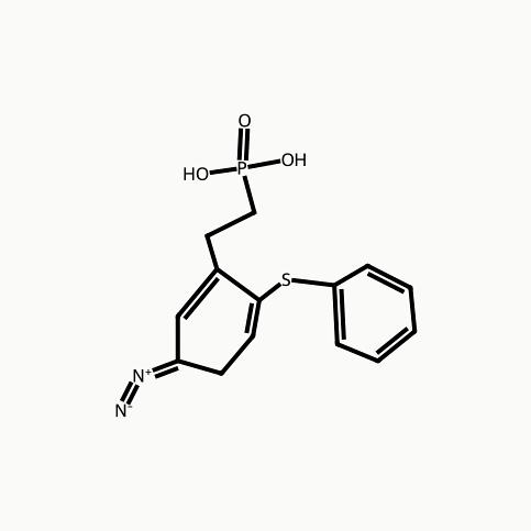 [N-]=[N+]=C1C=C(CCP(=O)(O)O)C(Sc2ccccc2)=CC1